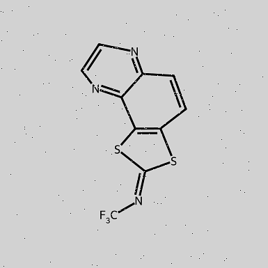 FC(F)(F)N=c1sc2ccc3nccnc3c2s1